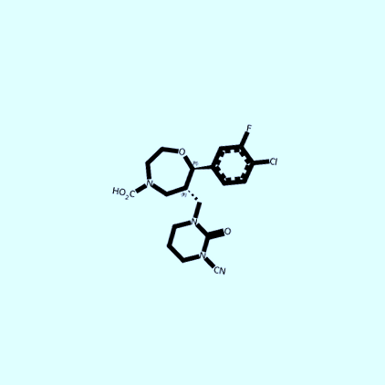 N#CN1CCCN(C[C@@H]2CN(C(=O)O)CCO[C@H]2c2ccc(Cl)c(F)c2)C1=O